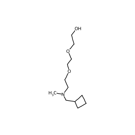 CN(CCOCCOCCO)CC1CCC1